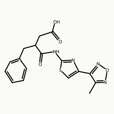 Cc1nonc1-c1csc(NC(=O)C(CC(=O)O)Cc2ccccc2)n1